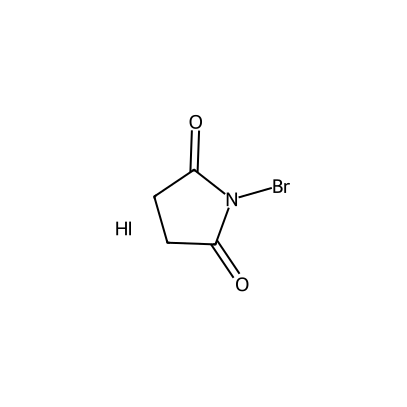 I.O=C1CCC(=O)N1Br